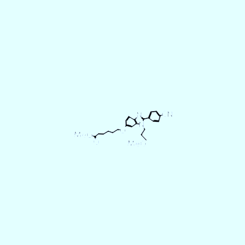 COCCCn1c(-c2ccc(C#N)cc2)nc2ccc(OCCCCCC(=O)OC)cc21